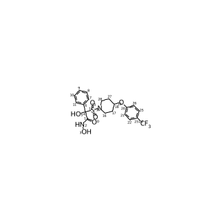 O=C(NO)C(O)(c1ccccc1)S(=O)(=O)N1CCC(Oc2ccc(C(F)(F)F)cc2)CC1